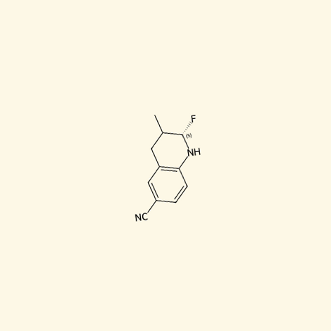 CC1Cc2cc(C#N)ccc2N[C@H]1F